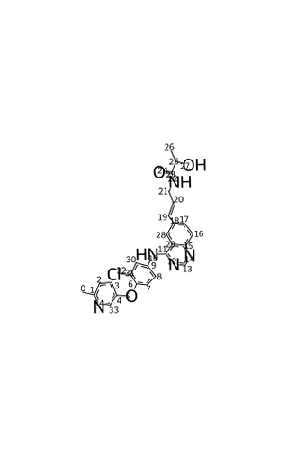 Cc1ccc(Oc2ccc(Nc3ncnc4ccc(/C=C/CNC(=O)C(C)O)cc34)cc2Cl)cn1